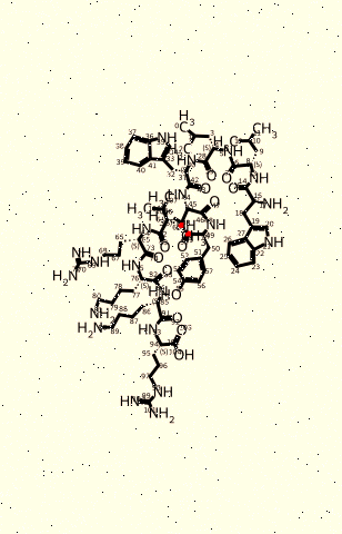 CC(C)C[C@H](NC(=O)[C@H](CC(C)C)NC(=O)[C@@H](N)Cc1c[nH]c2ccccc12)C(=O)N[C@@H](Cc1c[nH]c2ccccc12)C(=O)N[C@H](C(=O)N[C@@H](Cc1ccc(O)cc1)C(=O)N[C@H](C(=O)N[C@@H](CCCNC(=N)N)C(=O)N[C@@H](CCCCN)C(=O)N[C@@H](CCCCN)C(=O)N[C@@H](CCCNC(=N)N)C(=O)O)C(C)C)C(C)C